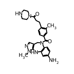 Cc1cc(C(=O)N2Cc3cnn(C)c3Nc3cc(N)ccc32)ccc1CCC(=O)N1CCNCC1